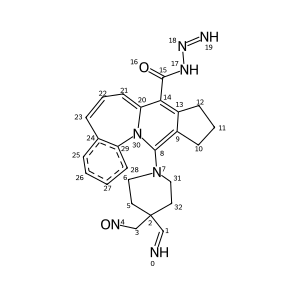 N=CC1(CN=O)CCN(C2=C3CCCC3=C(C(=O)NN=N)C3=CC=Cc4ccccc4N32)CC1